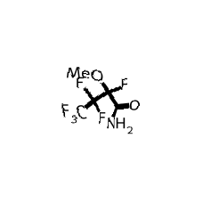 COC(F)(C(N)=O)C(F)(F)C(F)(F)F